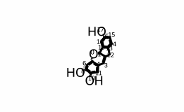 O=C1C(=Cc2ccc(O)c(O)c2)Cc2ccc(O)cc21